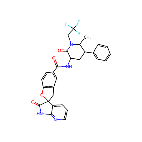 CC1C(c2ccccc2)CC(NC(=O)c2ccc3c(c2)CC2(O3)C(=O)Nc3ncccc32)C(=O)N1CC(F)(F)F